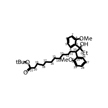 CCC(O)(c1ccccc1OC)C(CCCCCCCCCCC(=O)OC(C)(C)C)c1ccccc1OC